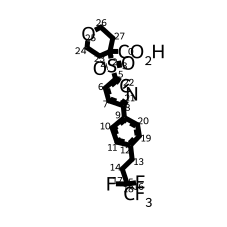 O=C(O)C1(S(=O)(=O)c2ccc(-c3ccc(CCC(F)(F)C(F)(F)F)cc3)nc2)CCOCC1